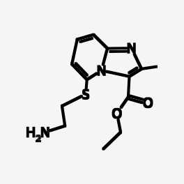 CCOC(=O)c1c(C)nc2cccc(SCCN)n12